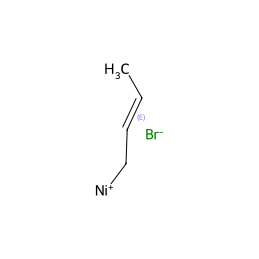 C/C=C/[CH2][Ni+].[Br-]